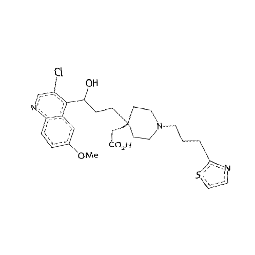 COc1ccc2ncc(Cl)c(C(O)CCC3(CC(=O)O)CCN(CCCc4nccs4)CC3)c2c1